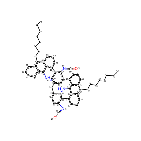 CCCCCCCCc1c2ccccc2c(N)c2c(-c3cc(Cc4ccc(N=C=O)c(-c5cccc6c(CCCCCCCC)c7ccccc7c(N)c56)c4)ccc3N=C=O)cccc12